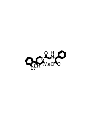 CCc1ccccc1C1(C)CCN(C(=O)CN[C@@H](C(=O)OC)c2ccccc2)CC1